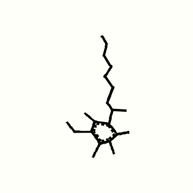 CCCCCCCC(C)c1c(C)c(C)c(C)c(CC)c1C